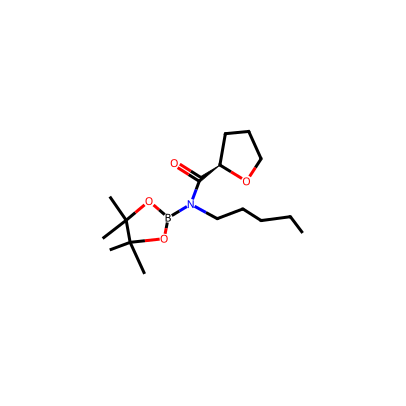 CCCCCN(B1OC(C)(C)C(C)(C)O1)C(=O)[C@H]1CCCO1